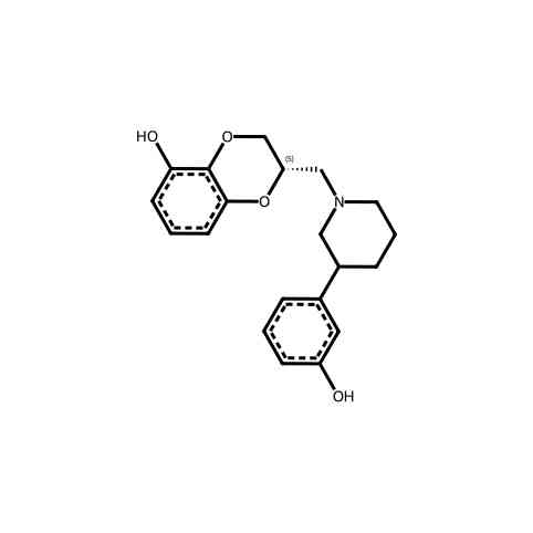 Oc1cccc(C2CCCN(C[C@H]3COc4c(O)cccc4O3)C2)c1